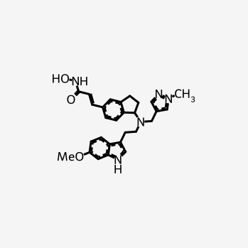 COc1ccc2c(CCN(Cc3cnn(C)c3)C3CCc4cc(/C=C/C(=O)NO)ccc43)c[nH]c2c1